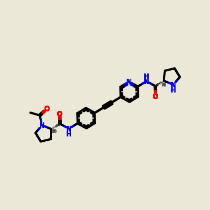 CC(=O)N1CCC[C@H]1C(=O)Nc1ccc(C#Cc2ccc(NC(=O)[C@@H]3CCCN3)nc2)cc1